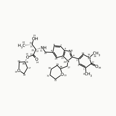 Cc1cc(-c2nc3ccc(CN[C@H](C(=O)O[C@@H]4CCOC4)[C@H](C)O)cc3n2CC2CCCCO2)cn(C)c1=O